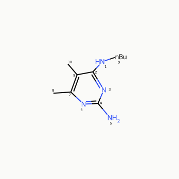 CCCCNc1nc(N)nc(C)c1C